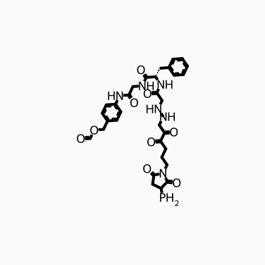 O=COCc1ccc(NC(=O)CNC(=O)[C@H](Cc2ccccc2)NC(=O)CNNCC(=O)C(=O)CCCN2C(=O)CC(P)C2=O)cc1